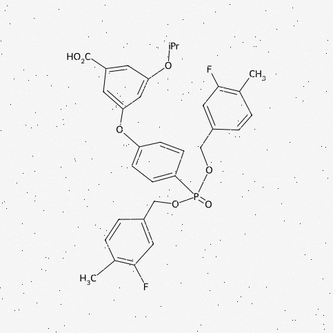 Cc1ccc(COP(=O)(OCc2ccc(C)c(F)c2)c2ccc(Oc3cc(OC(C)C)cc(C(=O)O)c3)cc2)cc1F